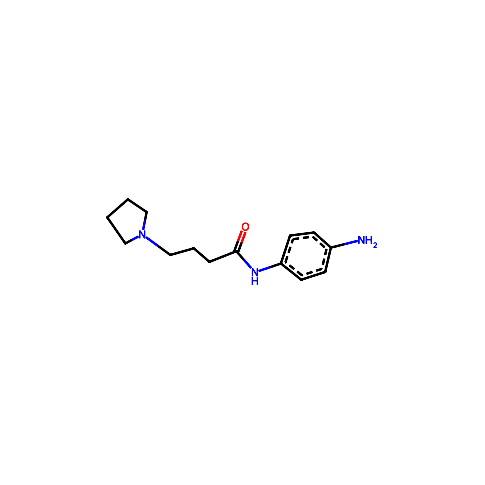 Nc1ccc(NC(=O)CCCN2CCCC2)cc1